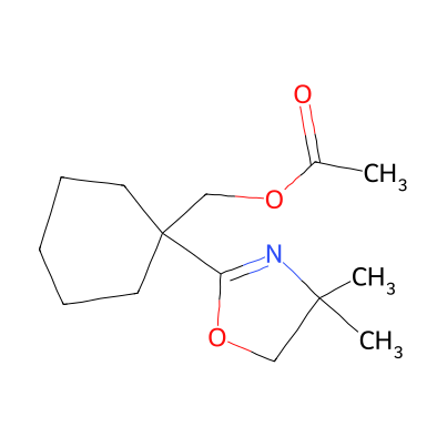 CC(=O)OCC1(C2=NC(C)(C)CO2)CCCCC1